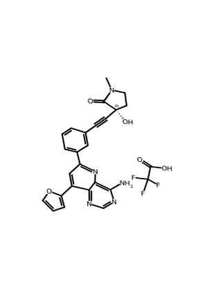 CN1CC[C@@](O)(C#Cc2cccc(-c3cc(-c4ccco4)c4ncnc(N)c4n3)c2)C1=O.O=C(O)C(F)(F)F